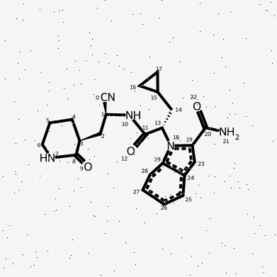 N#C[C@H](C[C@@H]1CCCNC1=O)NC(=O)[C@H](CC1CC1)n1c(C(N)=O)cc2ccccc21